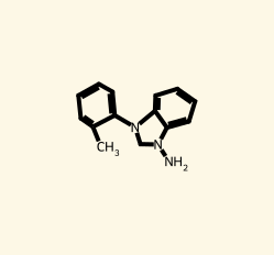 Cc1ccccc1N1CN(N)c2ccccc21